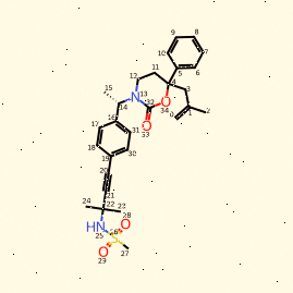 C=C(C)CC1(c2ccccc2)CCN([C@@H](C)c2ccc(C#CC(C)(C)NS(C)(=O)=O)cc2)C(=O)O1